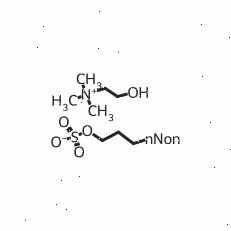 CCCCCCCCCCCCOS(=O)(=O)[O-].C[N+](C)(C)CCO